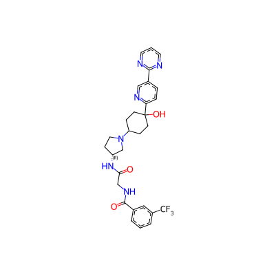 O=C(CNC(=O)c1cccc(C(F)(F)F)c1)N[C@@H]1CCN(C2CCC(O)(c3ccc(-c4ncccn4)cn3)CC2)C1